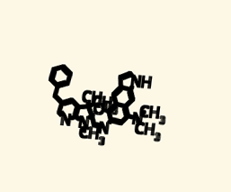 CN(C)c1cc2c(c3cc4cc[nH]c4cc13)OC1(C=N2)N(C)c2ncc(Cc3ccccc3)cc2C1(C)C